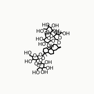 C=C1CC2CCC3C(CCC[C@@]3(C)C(=O)OC3OC(CO)C(O)C(O)C3OC3OC(CO)C(O)C(O)C3O)[C@@H]2CCC1OC1OC(CO)C(O)C(OC2OC(CO)C(O)C(O)C2O)C1OC1OC(CO)C(O)C(O)C1O